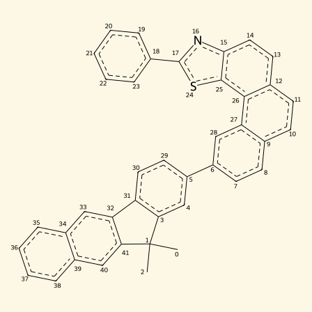 CC1(C)c2cc(-c3ccc4ccc5ccc6nc(-c7ccccc7)sc6c5c4c3)ccc2-c2cc3ccccc3cc21